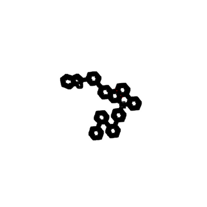 c1ccc(-c2ccccc2-c2ccccc2-c2ccc(N(c3ccc4cc(-c5cccc(-c6cc7ccccc7o6)c5)ccc4c3)c3ccccc3-c3ccccc3)cc2)cc1